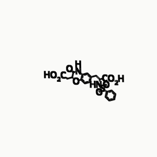 O=C(O)CC1Oc2ccc(C[C@H](NS(=O)(=O)c3ccccc3)C(=O)O)cc2NC1=O